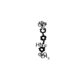 CC(C)(C)OC(=O)N1CCC(c2ccc(CNc3ccc(S(C)(=O)=O)cc3F)cc2)CC1